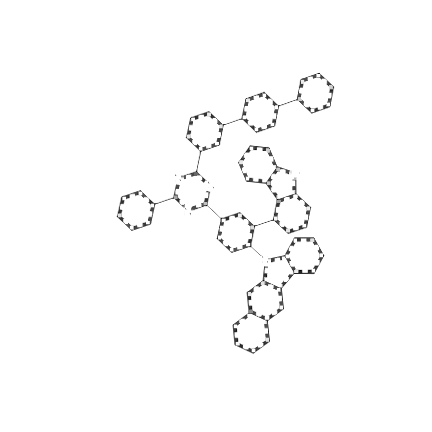 c1ccc(-c2ccc(-c3cccc(-c4nc(-c5ccccc5)nc(-c5ccc(-n6c7ccccc7c7cc8ccccc8cc76)c(-c6cccc7oc8ccccc8c67)c5)n4)c3)cc2)cc1